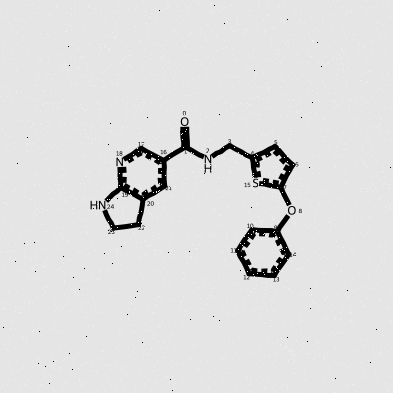 O=C(NCc1ccc(Oc2ccccc2)s1)c1cnc2c(c1)CCN2